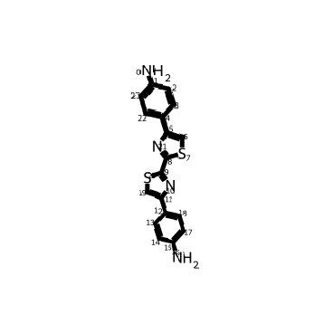 Nc1ccc(-c2csc(-c3nc(-c4ccc(N)cc4)cs3)n2)cc1